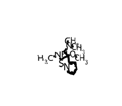 CNC(=S)C(CN(C)C)(OC)c1ccccn1